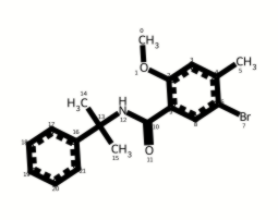 COc1cc(C)c(Br)cc1C(=O)NC(C)(C)c1ccccc1